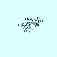 Cc1cc(C)c(Oc2cc3c(cc2Cl)C=C(C(=O)O)C(C(F)(F)F)O3)c(C)c1